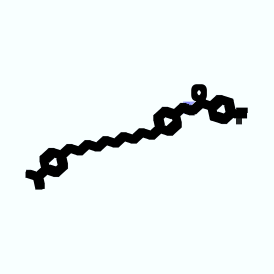 C=C(C)c1ccc(CCCCCCCCCCc2ccc(/C=C/C(=O)c3ccc(F)cc3)cc2)cc1